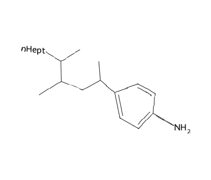 CCCCCCCC(C)C(C)CC(C)c1ccc(N)cc1